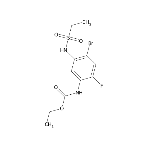 CCOC(=O)Nc1cc(NS(=O)(=O)CC)c(Br)cc1F